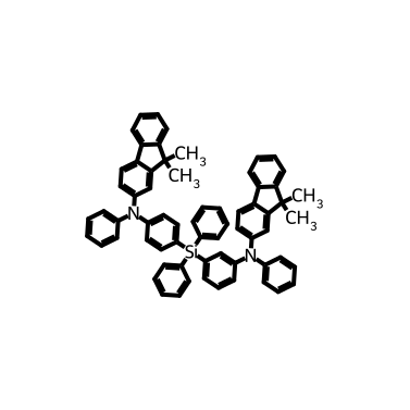 CC1(C)c2ccccc2-c2ccc(N(c3ccccc3)c3ccc([Si](c4ccccc4)(c4ccccc4)c4cccc(N(c5ccccc5)c5ccc6c(c5)C(C)(C)c5ccccc5-6)c4)cc3)cc21